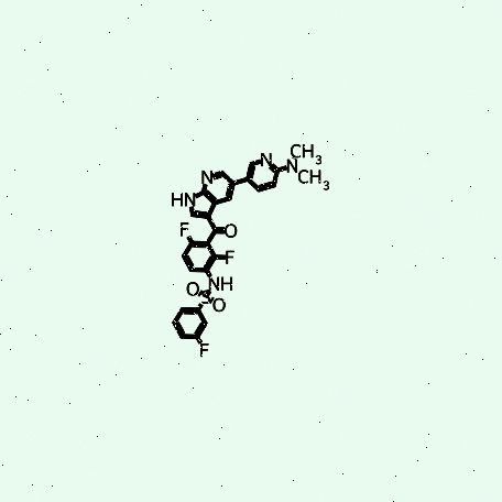 CN(C)c1ccc(-c2cnc3[nH]cc(C(=O)c4c(F)ccc(NS(=O)(=O)c5cccc(F)c5)c4F)c3c2)cn1